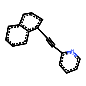 C(#Cc1cccc2ccccc12)c1ccccn1